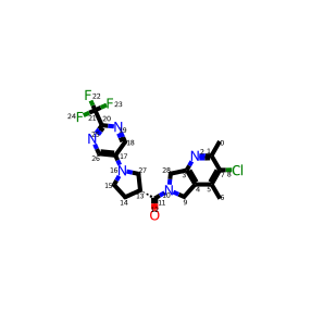 Cc1nc2c(c(C)c1Cl)CN(C(=O)[C@@H]1CCN(c3cnc(C(F)(F)F)nc3)C1)C2